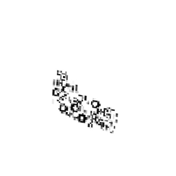 CCN(CC)[C@@H](C(=O)N1C[Si](C)(C)C[C@H]1C(=O)Nc1ccc(CN(Cc2ccc(NC(=O)[C@@H]3CCCN3C(=O)[C@@H](NC(=O)OC)C(C)C)cc2)c2ccc(C(C)(C)C)cc2)cc1)c1ccccc1